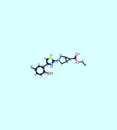 CCOC(=O)C1C2CN(c3nc(-c4cc(C)ccc4O)cs3)CC21